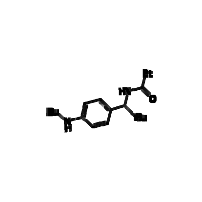 CCC(=O)NC(c1ccc(NC(C)CC)cc1)C(C)(C)C